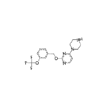 FC(F)(F)Oc1cccc(COc2nccc(N3CCNCC3)n2)c1